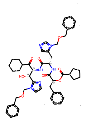 O=C(O[C@@H](Cc1ccccc1)C(=O)N[C@@H](Cc1cncn1COCc1ccccc1)C(=O)N[C@H](C(=O)C1CCCCC1)[C@@H](O)c1nccn1COCc1ccccc1)C1CCCC1